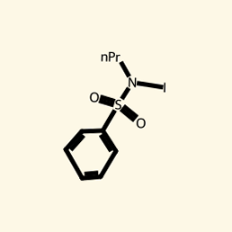 CCCN(I)S(=O)(=O)c1ccccc1